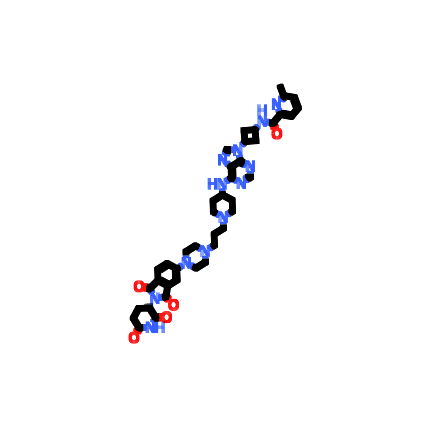 Cc1cccc(C(=O)NC2CC(n3cnc4c(NC5CCN(CCCN6CCN(c7ccc8c(c7)C(=O)N([C@H]7CCC(=O)NC7=O)C8=O)CC6)CC5)ncnc43)C2)n1